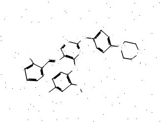 COc1cc(C)ccc1Oc1nc(Nc2ccc(N3CCOCC3)cc2)ncc1/N=C/c1ccccc1Cl